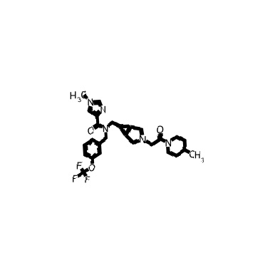 CC1CCN(C(=O)CN2CC3C(C2)C3CN(Cc2cccc(OC(F)(F)F)c2)C(=O)c2cn(C)cn2)CC1